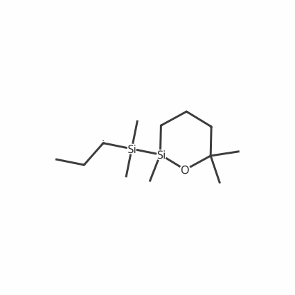 CC[CH][Si](C)(C)[Si]1(C)CCCC(C)(C)O1